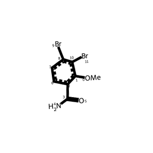 COc1c(C(N)=O)ccc(Br)c1Br